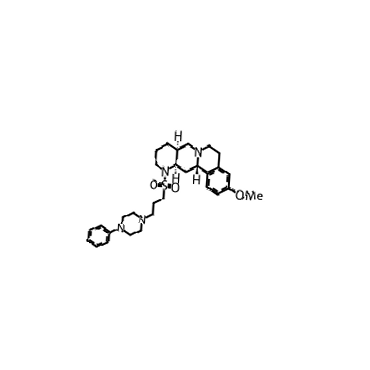 COc1ccc2c(c1)CCN1C[C@@H]3CCCN(S(=O)(=O)CCCN4CCN(c5ccccc5)CC4)[C@@H]3C[C@@H]21